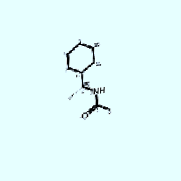 CC(=O)N[C@H](C)C1CCCCC1